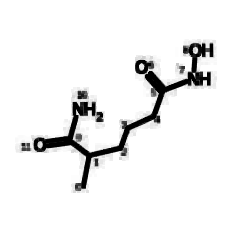 CC(C[CH]CC(=O)NO)C(N)=O